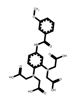 COc1cccc(C(=O)Nc2ccc(N(CC(=O)O)CC(=O)O)c(N(CC(=O)O)CC(=O)O)c2)c1